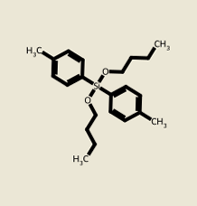 CCCCO[Si](OCCCC)(c1ccc(C)cc1)c1ccc(C)cc1